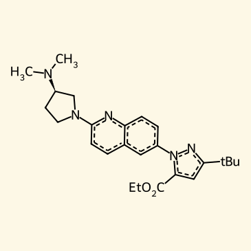 CCOC(=O)c1cc(C(C)(C)C)nn1-c1ccc2nc(N3CC[C@@H](N(C)C)C3)ccc2c1